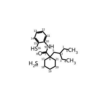 CCC(CC)CC1(C(=O)Nc2ccccc2S)CCCCC1.S